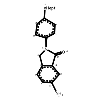 CCCCCCCc1ccc(N2Cc3ccc(N)cc3C2=O)cc1